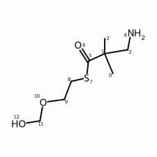 CC(C)(CN)C(=O)SCCOCO